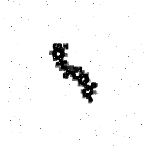 CN1CCN(c2cccc(C[C@H](N)C(=O)NCC(C)(C)c3ccc(C(=O)O)cc3)c2)C(=O)C1